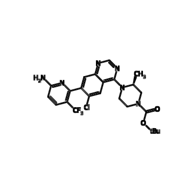 C[C@H]1CN(C(=O)OC(C)(C)C)CCN1c1ncnc2cc(-c3nc(N)ccc3C(F)(F)F)c(Cl)cc12